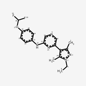 CCn1nc(C)c(-c2cncc(Nc3ccc(OC(F)F)cc3)n2)c1C